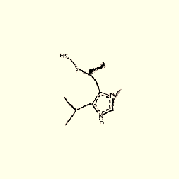 CC(C)c1[nH]cnc1C(C)SS